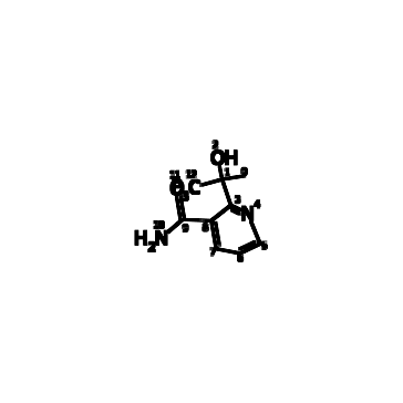 CC(O)(c1ncccc1C(N)=O)C(F)(F)F